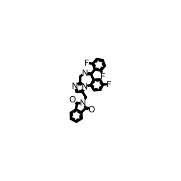 O=C1c2ccccc2C(=O)N1Cc1cnc2n1-c1ccc(F)cc1C(c1c(F)cccc1F)=NC2